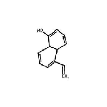 C=CC1=CC=CC2C(O)=CC=CC12